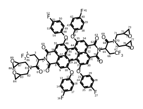 O=C(C(CC(F)(F)F)N1C(=O)c2cc(Oc3ccc(F)cc3)c3c4c(Oc5ccc(F)cc5)cc5c6c(cc(Oc7ccc(F)cc7)c(c7c(Oc8ccc(F)cc8)cc(c2c37)C1=O)c64)C(=O)N(C(CC(F)(F)F)C(=O)N(CC1CO1)CC1CO1)C5=O)N(CC1CO1)CC1CO1